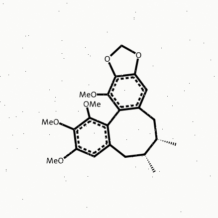 COc1cc2c(c(OC)c1OC)-c1c(cc3c(c1OC)OCO3)C[C@H](C)[C@H](C)C2